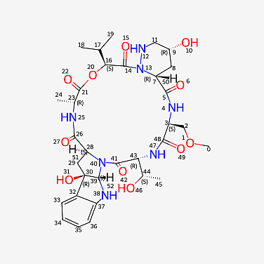 COC[C@@H]1NC(=O)[C@H]2C[C@@H](O)CNN2C(=O)[C@H](C(C)C)OC(=O)[C@@H](C)NC(=O)[C@@H]2C[C@@]3(O)c4ccccc4N[C@H]3N2C(=O)[C@@H]([C@H](C)O)NC1=O